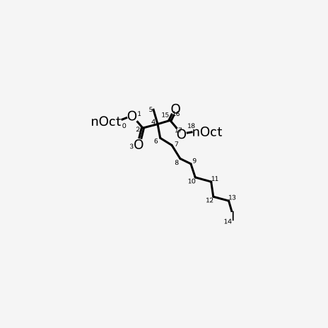 CCCCCCCCOC(=O)C(C)(CCCCCCCCI)C(=O)OCCCCCCCC